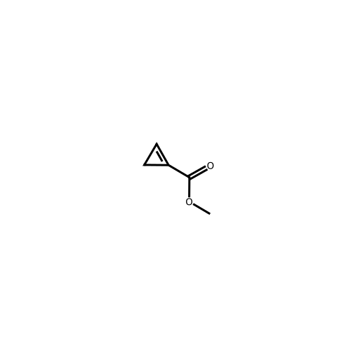 COC(=O)C1=CC1